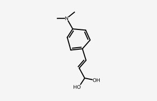 CN(C)c1ccc(/C=C/C(O)O)cc1